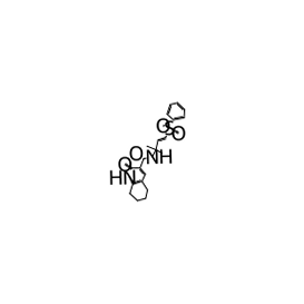 CC(C)(/C=C/S(=O)(=O)c1ccccc1)NC(=O)c1cc2c([nH]c1=O)CCCC2